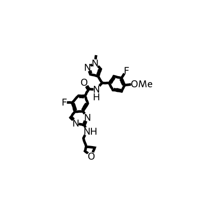 COc1ccc(C(NC(=O)c2cc(F)c3cnc(NCC4COC4)nc3c2)c2cnn(C)c2)cc1F